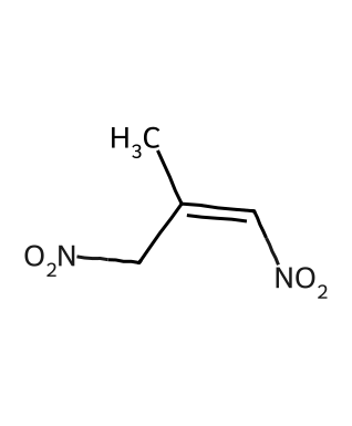 C/C(=C/[N+](=O)[O-])C[N+](=O)[O-]